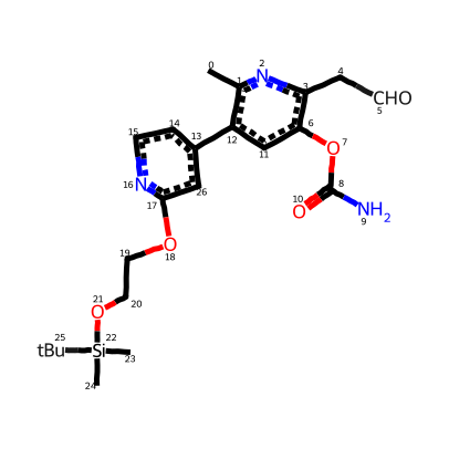 Cc1nc(CC=O)c(OC(N)=O)cc1-c1ccnc(OCCO[Si](C)(C)C(C)(C)C)c1